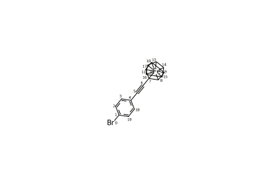 Brc1ccc(C#C[C]23[CH]4[CH]5[CH]6[CH]2[Fe]56432789[CH]3[CH]2[CH]7[CH]8[CH]39)cc1